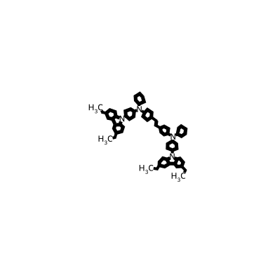 CCc1ccc2c(c1)c1cc(CC)ccc1n2-c1ccc(N(c2ccccc2)c2ccc(/C=C/c3ccc(N(c4ccccc4)c4ccc(-n5c6ccc(CC)cc6c6cc(CC)ccc65)cc4)cc3)cc2)cc1